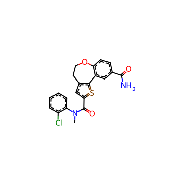 CN(C(=O)c1cc2c(s1)-c1cc(C(N)=O)ccc1OCC2)c1ccccc1Cl